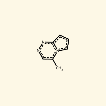 Cc1cnnc2cccn12